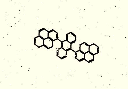 C1=Cc2ccc3ccc(-c4c5ccccc5c(-c5ccc6ccc7c8c6c5CC=C8CC=C7)c5ncccc45)c4c3c2C(=CC4)C1